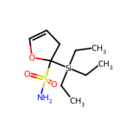 CC[Si](CC)(CC)C1(S(N)(=O)=O)CC=CO1